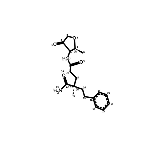 C[C@@H]1OCC(=O)C1NC(=O)[CH]C[C@@](C)(CCc1ccccc1)C(N)=O